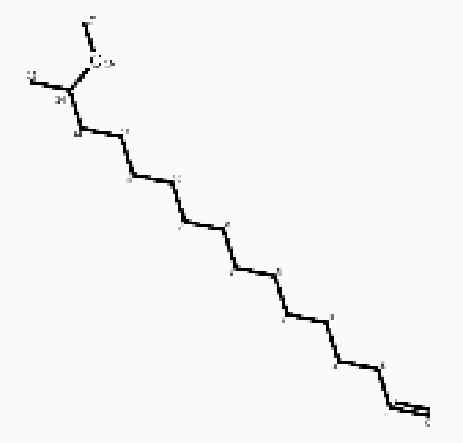 [CH]=CCCCCCCCCCCCCC(C)OC